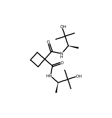 C[C@@H](NC(=O)C1(C(=O)N[C@H](C)C(C)(C)O)CCC1)C(C)(C)O